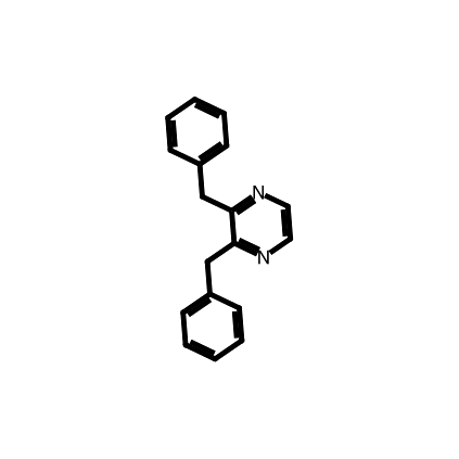 c1ccc(Cc2nccnc2Cc2ccccc2)cc1